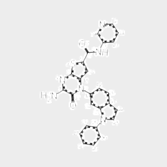 Nc1nc2sc(C(=O)Nc3cccnc3)cc2n(-c2ccc3ccn(-c4ccccc4)c3c2)c1=O